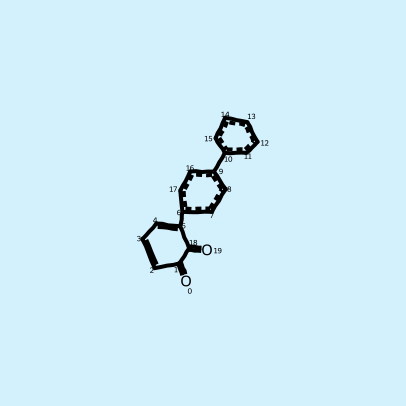 O=C1C=CC=C(c2ccc(-c3ccccc3)cc2)C1=O